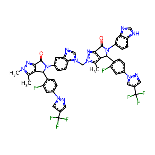 Cc1c2c(nn1C)C(=O)N(c1ccc3c(c1)ncn3Cn1nc3c(c1C)C(c1ccc(-n4cc(C(F)(F)F)cn4)cc1F)N(c1ccc4[nH]cnc4c1)C3=O)C2c1ccc(-n2cc(C(F)(F)F)cn2)cc1F